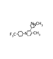 CC1=CCN(c2ccc(C(F)(F)F)cc2)C=C1c1cnn(C)c1